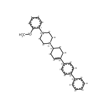 COc1ccccc1N1CCN(C2CC=C(c3ccc(-c4ccccc4)cc3)CC2)CC1